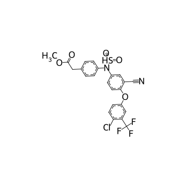 COC(=O)Cc1ccc(N(c2ccc(Oc3ccc(Cl)c(C(F)(F)F)c3)c(C#N)c2)[SH](=O)=O)cc1